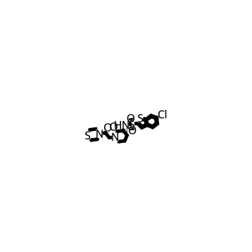 O=C(CN1CCC[C@H](NS(=O)(=O)c2cc3ccc(Cl)cc3s2)C1=O)N1CCSCC1